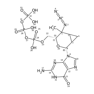 CC1(N=[N+]=[N-])C2CC2[C@H](n2cnc3c(=O)[nH]c(N)nc32)O[C@@H]1COP(=O)(O)OP(=O)(O)OP(=O)(O)O